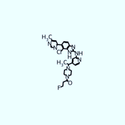 Cc1cc(-c2ccc3nc(Nc4cc(C(C)N5CCN(C(=O)CCF)CC5)ccn4)[nH]c3c2Cl)ncn1